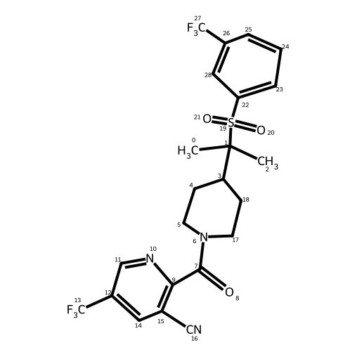 CC(C)(C1CCN(C(=O)c2ncc(C(F)(F)F)cc2C#N)CC1)S(=O)(=O)c1cccc(C(F)(F)F)c1